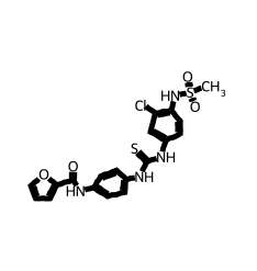 CS(=O)(=O)Nc1ccc(NC(=S)Nc2ccc(NC(=O)c3ccco3)cc2)cc1Cl